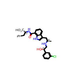 CC(C)C[C@H](NC(=O)c1cccc2c(C[C@@H](C)NC[C@H](O)c3cccc(Cl)c3)c[nH]c12)C(=O)O